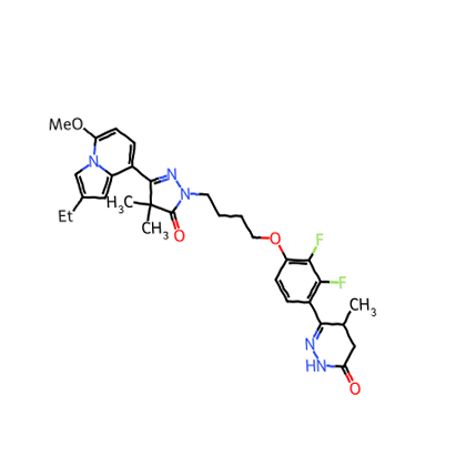 CCc1cc2c(C3=NN(CCCCOc4ccc(C5=NNC(=O)CC5C)c(F)c4F)C(=O)C3(C)C)ccc(OC)n2c1